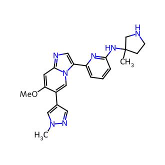 COc1cc2ncc(-c3cccc(NC4(C)CCNC4)n3)n2cc1-c1cnn(C)c1